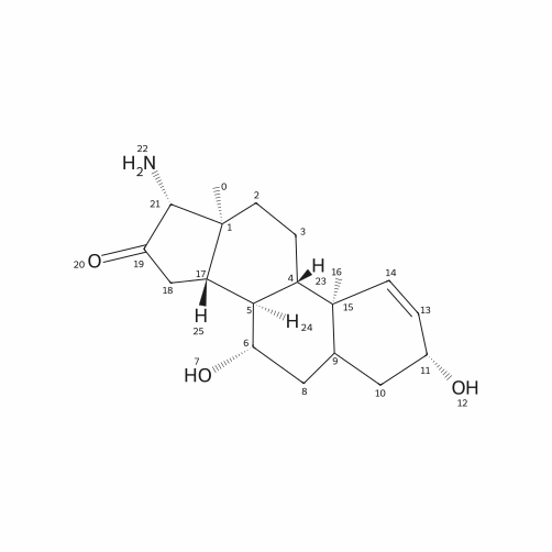 C[C@]12CC[C@H]3[C@@H]([C@@H](O)CC4C[C@@H](O)C=C[C@@]43C)[C@@H]1CC(=O)[C@@H]2N